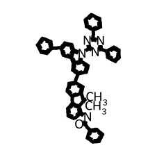 CC1(C)c2cc(-c3ccc4c(c3)c3cc(-c5ccccc5)ccc3n4-c3nc(-c4ccccc4)nc(-c4ccccc4)n3)ccc2-c2ccc3oc(-c4ccccc4)nc3c21